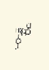 CC(C)c1ccc(CNNC(C)c2ccccc2Cl)cc1